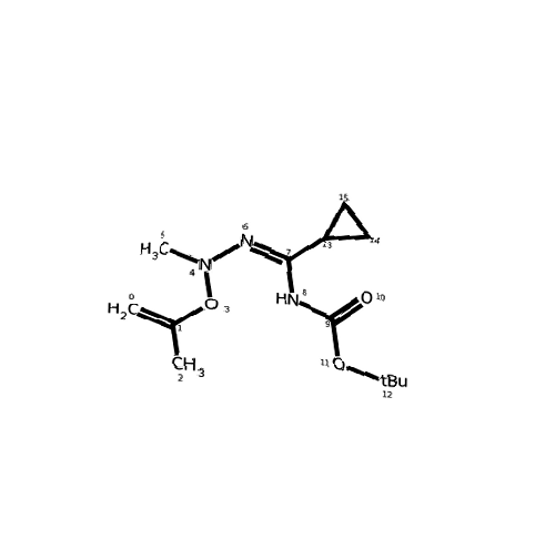 C=C(C)ON(C)/N=C(\NC(=O)OC(C)(C)C)C1CC1